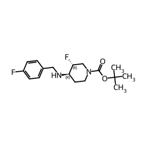 CC(C)(C)OC(=O)N1CC[C@@H](NCc2ccc(F)cc2)[C@H](F)C1